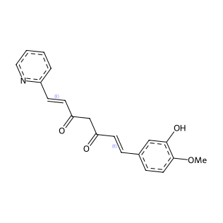 COc1ccc(/C=C/C(=O)CC(=O)/C=C/c2ccccn2)cc1O